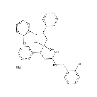 Cl.OC(CC(c1ccccc1)C(O)(CCc1ccccc1)NCc1ccccc1Cl)NCc1ccccc1Cl